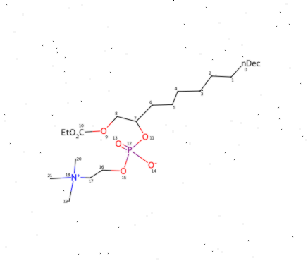 CCCCCCCCCCCCCCCCC(COC(=O)OCC)OP(=O)([O-])OCC[N+](C)(C)C